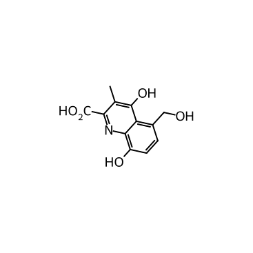 Cc1c(C(=O)O)nc2c(O)ccc(CO)c2c1O